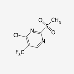 CS(=O)(=O)c1ncc(C(F)(F)F)c(Cl)n1